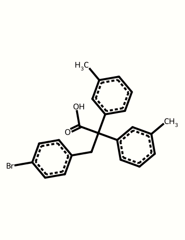 Cc1cccc(C(Cc2ccc(Br)cc2)(C(=O)O)c2cccc(C)c2)c1